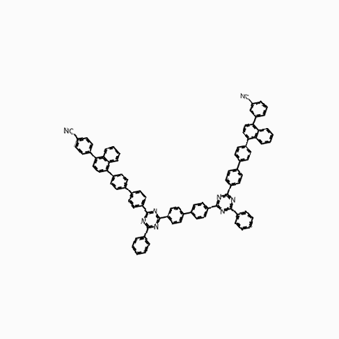 N#Cc1ccc(-c2ccc(-c3ccc(-c4ccc(-c5nc(-c6ccccc6)nc(-c6ccc(-c7ccc(-c8nc(-c9ccccc9)nc(-c9ccc(-c%10ccc(-c%11ccc(-c%12cccc(C#N)c%12)c%12ccccc%11%12)cc%10)cc9)n8)cc7)cc6)n5)cc4)cc3)c3ccccc23)cc1